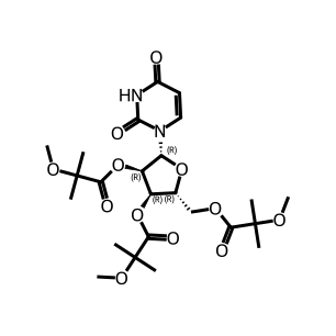 COC(C)(C)C(=O)OC[C@H]1O[C@@H](n2ccc(=O)[nH]c2=O)[C@H](OC(=O)C(C)(C)OC)[C@@H]1OC(=O)C(C)(C)OC